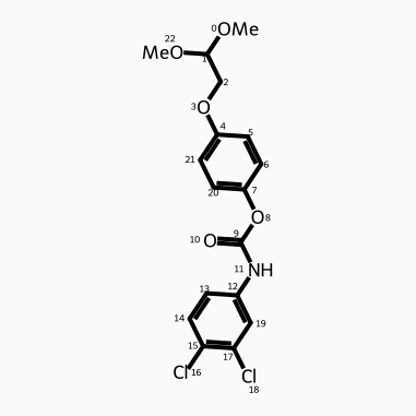 COC(COc1ccc(OC(=O)Nc2ccc(Cl)c(Cl)c2)cc1)OC